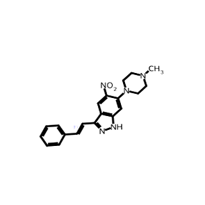 CN1CCN(c2cc3[nH]nc(/C=C/c4ccccc4)c3cc2[N+](=O)[O-])CC1